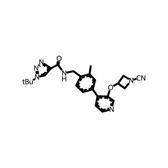 Cc1cc(-c2ccncc2OC2CN(C#N)C2)ccc1CNC(=O)c1cn(C(C)(C)C)nn1